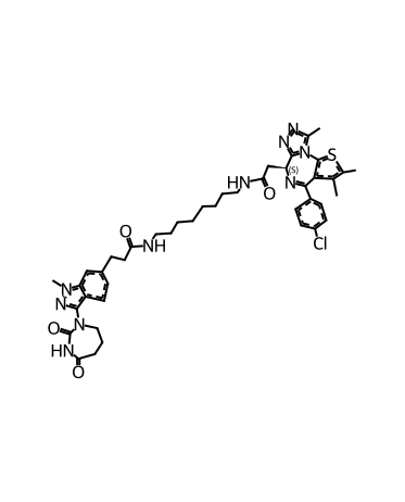 Cc1sc2c(c1C)C(c1ccc(Cl)cc1)=N[C@@H](CC(=O)NCCCCCCCCNC(=O)CCc1ccc3c(N4CCCC(=O)NC4=O)nn(C)c3c1)c1nnc(C)n1-2